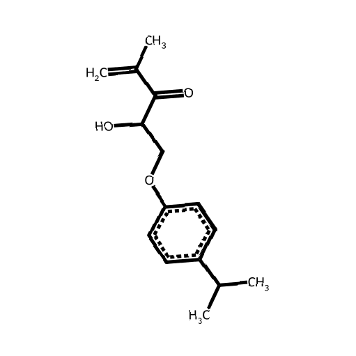 C=C(C)C(=O)C(O)COc1ccc(C(C)C)cc1